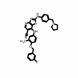 Cc1cc(Nc2c(C#N)cnc3nc(Nc4ccc(CN5CCCC5)cc4)sc23)ccc1OCc1cccc(F)c1